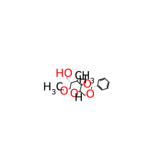 CO[C@H]1O[C@@H]2CO[C@@H](c3ccccc3)O[C@H]2[C@H](C)[C@H]1CO